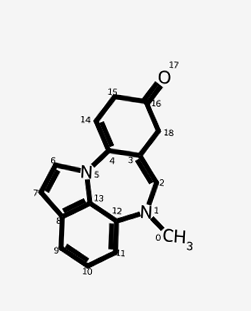 Cn1cc2c(n3ccc4cccc1c43)=CCC(=O)C2